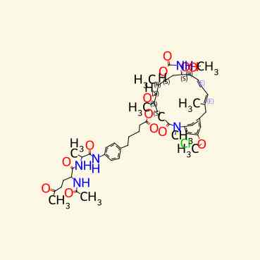 COc1cc2cc(c1Cl)N(C)C(=O)C[C@H](OC(=O)CCCCc1ccc(NC(=O)C(C)NC(=O)C(CCC(C)=O)NC(C)=O)cc1)[C@]1(C)O[C@H]1[C@H](C)[C@@H]1C[C@@](O)(NC(=O)O1)[C@H](OC)/C=C/C=C(\C)C2